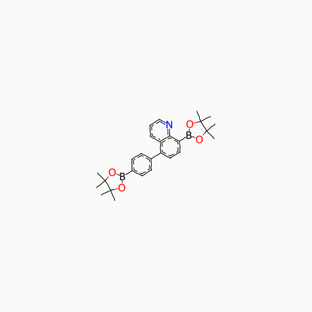 CC1(C)OB(c2ccc(-c3ccc(B4OC(C)(C)C(C)(C)O4)c4ncccc34)cc2)OC1(C)C